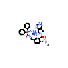 N=C1NC(c2ccccc2)(c2ccccc2)C(=O)N1Cc1ccc(C(F)(F)F)c(C(=O)N2Cc3cncnc3C2)c1